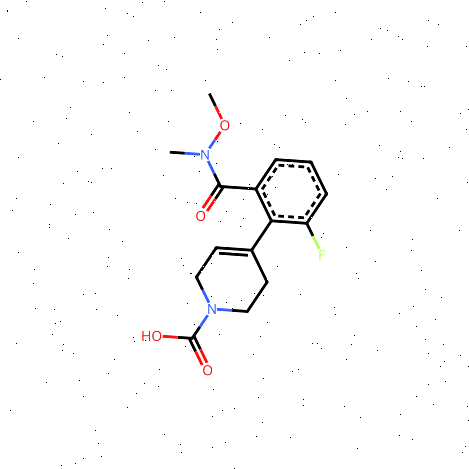 CON(C)C(=O)c1cccc(F)c1C1=CCN(C(=O)O)CC1